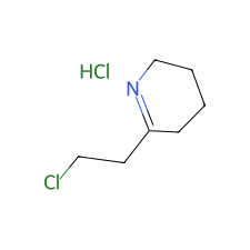 Cl.ClCCC1=NCCCC1